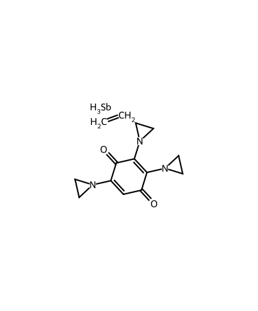 C=C.O=C1C=C(N2CC2)C(=O)C(N2CC2)=C1N1CC1.[SbH3]